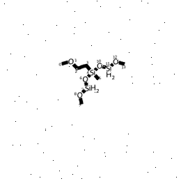 COCC[Si](C)(O[SiH2]OC)O[SiH2]OC